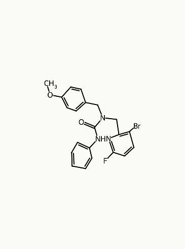 COc1ccc(CN(Cc2nc(F)ccc2Br)C(=O)Nc2ccccc2)cc1